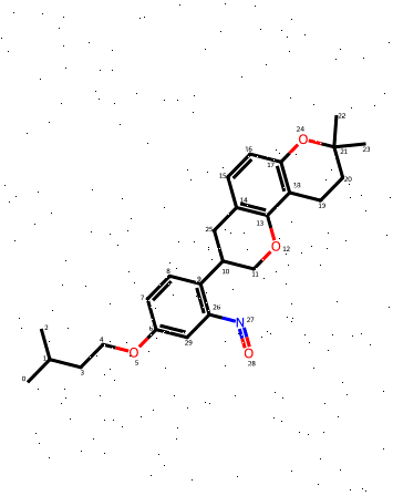 CC(C)CCOc1ccc(C2COc3c(ccc4c3CCC(C)(C)O4)C2)c(N=O)c1